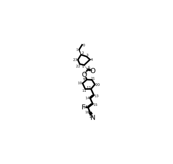 CC[C@H]1CC[C@H](C(=O)OC2CCC(/C=C/C=C(F)C#N)CC2)CC1